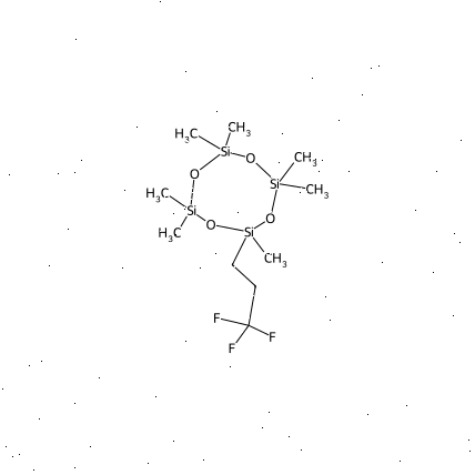 C[Si]1(C)O[Si](C)(C)O[Si](C)(CCC(F)(F)F)O[Si](C)(C)O1